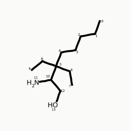 CCCCCC(CC)(CC)C(N)CO